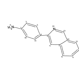 Nc1ccc(-c2cc3ccccc3cn2)cc1